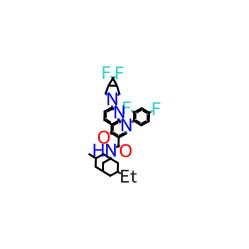 CCC1CC2CC(C)CC(NC(=O)c3cn(-c4ccc(F)cc4F)c4nc(N5CC6C(C5)C6(F)F)ccc4c3=O)(C1)C2